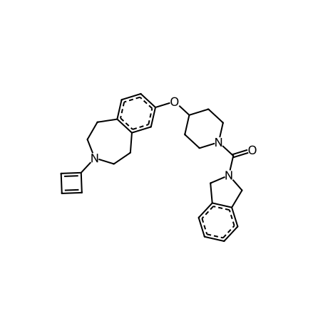 O=C(N1CCC(Oc2ccc3c(c2)CCN(C2=CC=C2)CC3)CC1)N1Cc2ccccc2C1